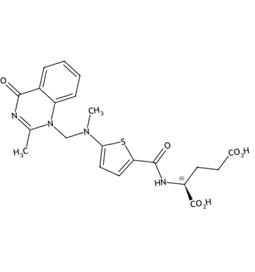 Cc1nc(=O)c2ccccc2n1CN(C)c1ccc(C(=O)N[C@@H](CCC(=O)O)C(=O)O)s1